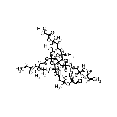 C=CC(=O)OC(C)(C)CCOC(C)(C)CC(CC(C)(C)OCCC(C)(C)OC(=O)C=C)(CC(C)(C)OCCC(C)(C)OC(=O)CC)CC(C)(C)OCCC(C)(N)OC(=O)C=C